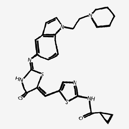 O=C1N/C(=N/c2ccc3c(ccn3CCN3CCCCC3)c2)S/C1=C\c1cnc(NC(=O)C2CC2)s1